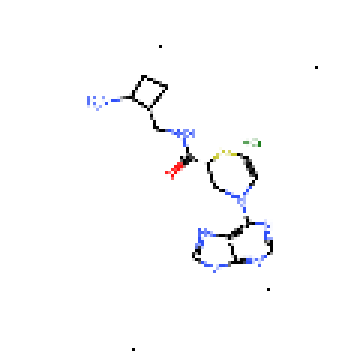 Cl.N[C@H]1CC[C@H]1CNC(=O)[C@H]1CN(c2ncnc3[nH]cnc23)C=CS1